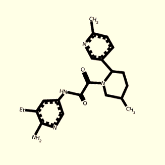 CCc1cc(NC(=O)C(=O)N2CC(C)CCC2c2ccc(C)nc2)cnc1N